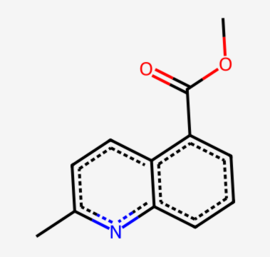 COC(=O)c1cccc2nc(C)ccc12